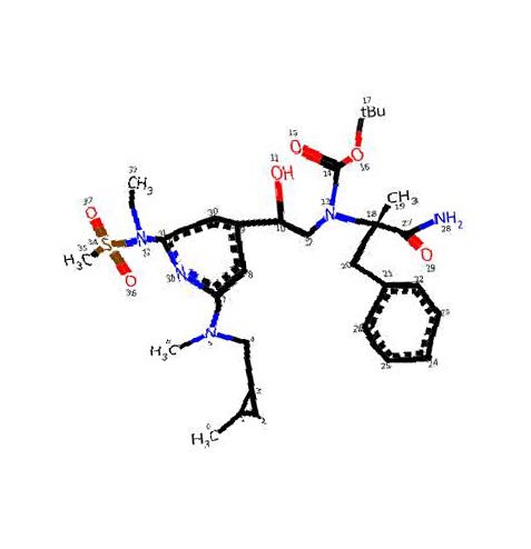 CC1CC1CN(C)c1cc(C(O)CN(C(=O)OC(C)(C)C)[C@@](C)(Cc2ccccc2)C(N)=O)cc(N(C)S(C)(=O)=O)n1